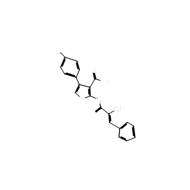 N/C(=C\c1ccccc1)C(=O)Nc1scc(-c2ccc(Cl)cc2)c1C(=O)O